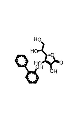 O=C1O[C@H]([C@@H](O)CO)C(O)=C1O.Oc1ccccc1-c1ccccc1